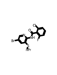 CCCSc1cc(Br)cnc1NC(=O)c1c(F)cccc1Cl